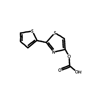 O=C(O)Oc1csc(-c2cccs2)n1